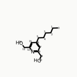 CCCCCCc1cc(CO)nc(CO)c1